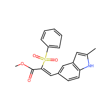 COC(=O)C(=Cc1ccc2[nH]c(C)cc2c1)S(=O)(=O)c1ccccc1